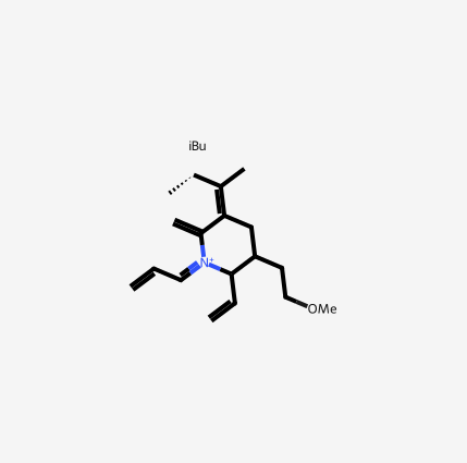 C=C/C=[N+]1\C(=C)C(=C(C)[C@H](C)[C@H](C)CC)CC(CCOC)C1C=C